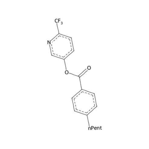 CCCCCc1ccc(C(=O)Oc2ccc(C(F)(F)F)nc2)cc1